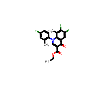 CCOC(=O)c1cn(-c2ccc(F)cc2C)c2c(C)c(F)c(F)cc2c1=O